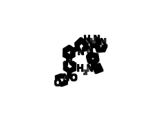 Nc1ncccc1-c1nc2ccc(-c3cccc(N4CCC(C(=O)N5CCOCC5)CC4)c3)nc2n1-c1ccc(C2(N)CCC2)cc1